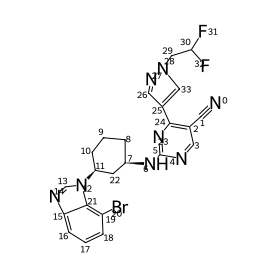 N#Cc1cnc(N[C@@H]2CCC[C@H](n3cnc4cccc(Br)c43)C2)nc1-c1cnn(CC(F)F)c1